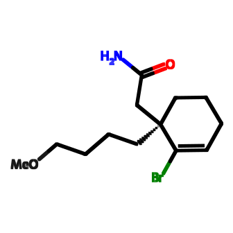 COCCCC[C@]1(CC(N)=O)CCCC=C1Br